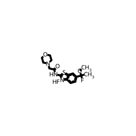 COC(C)(F)c1ccc2nc(NC(=O)CN3CCOCC3)sc2c1.F